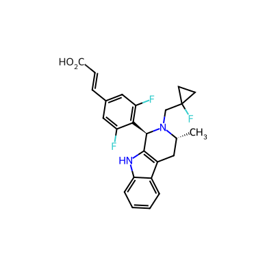 C[C@@H]1Cc2c([nH]c3ccccc23)[C@@H](c2c(F)cc(/C=C/C(=O)O)cc2F)N1CC1(F)CC1